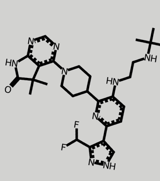 CC(C)(C)NCCNc1ccc(-c2c[nH]nc2C(F)F)nc1C1CCN(c2ncnc3c2C(C)(C)C(=O)N3)CC1